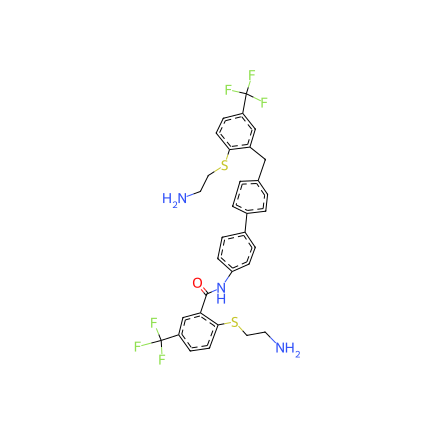 NCCSc1ccc(C(F)(F)F)cc1Cc1ccc(-c2ccc(NC(=O)c3cc(C(F)(F)F)ccc3SCCN)cc2)cc1